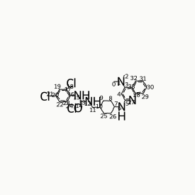 CN(C)c1cc(NC2CCC(CNC(=O)Nc3c(Cl)cc(Cl)cc3Cl)CC2)nc2ccccc12